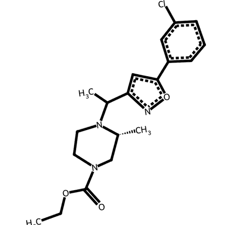 CCOC(=O)N1CCN(C(C)c2cc(-c3cccc(Cl)c3)on2)[C@H](C)C1